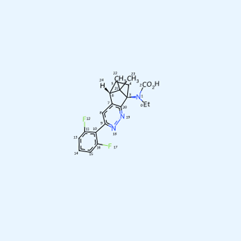 CCN(C(=O)O)[C@@]12CC[C@@H](c3cc(-c4c(F)cccc4F)nnc31)C2(C)C